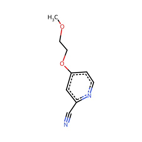 COCCOc1ccnc(C#N)c1